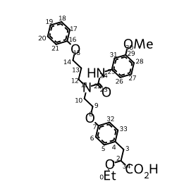 CCOC(Cc1ccc(OCCN(CCCOc2ccccc2)C(=O)Nc2cccc(OC)c2)cc1)C(=O)O